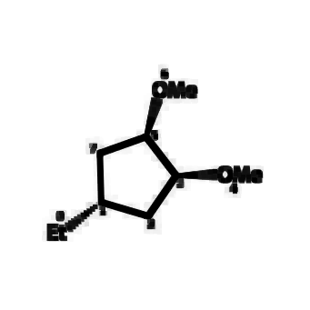 CC[C@H]1C[C@H](OC)[C@H](OC)C1